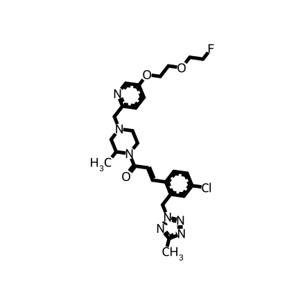 Cc1nnn(Cc2cc(Cl)ccc2/C=C/C(=O)N2CCN(Cc3ccc(OCCOCCF)cn3)CC2C)n1